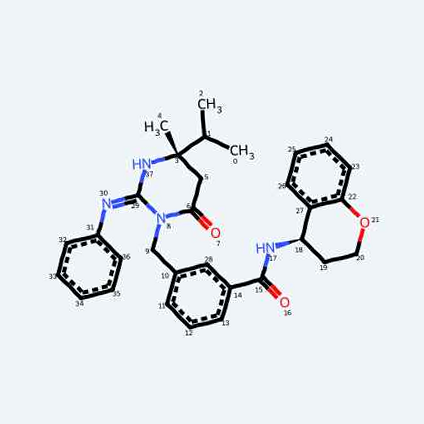 CC(C)[C@]1(C)CC(=O)N(Cc2cccc(C(=O)N[C@@H]3CCOc4ccccc43)c2)/C(=N\c2ccccc2)N1